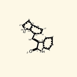 O=C1Nc2ccccc2/C1=C\c1cccc2cc[nH]c12